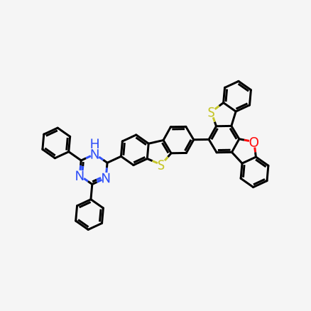 c1ccc(C2=NC(c3ccc4c(c3)sc3cc(-c5cc6c7ccccc7oc6c6c5sc5ccccc56)ccc34)NC(c3ccccc3)=N2)cc1